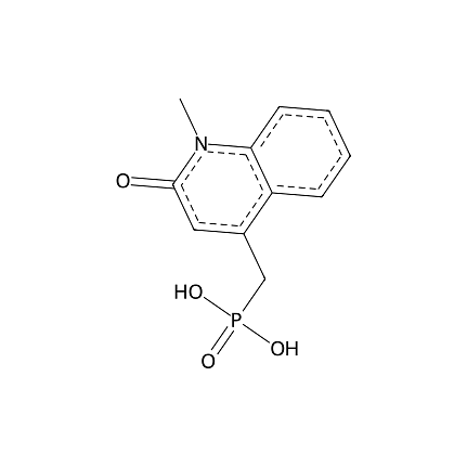 Cn1c(=O)cc(CP(=O)(O)O)c2ccccc21